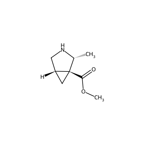 COC(=O)[C@@]12C[C@@H]1CN[C@@H]2C